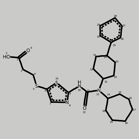 O=C(O)CCSc1cnc(NC(=O)N(C2CCCCCC2)C2CCC(c3ccccc3)CC2)s1